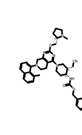 Cc1cccc2cccc(N3CCc4c(nc(OC[C@@H]5CCCN5C)nc4N4CC[C@@H](NC(=O)OCc5ccccc5)[C@@H](CC#N)C4)C3)c12